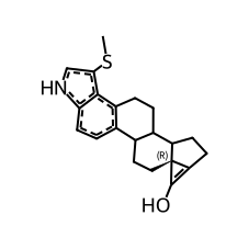 CSc1c[nH]c2ccc3c(c12)CCC1C3CC[C@]23C(O)=C2CCC13